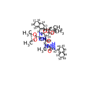 CCOC(OCC)C(C)N(Cc1cccc2ccccc12)C(=O)C(CC(=O)OC(C)(C)C)NC(=O)CN(C)NC(=O)NCc1cccc2ccccc12